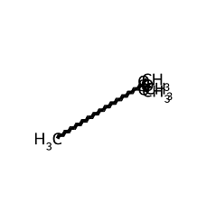 CCCCCCCCCCCCCCCCCCCCCCCCCCCCCC[Si](OC)(OC)OC